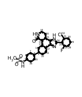 CS(=O)(=O)Nc1ccc(-c2ccc3c(c2)c2c(=O)[nH]ccc2c2[nH]c(-c4c(F)cccc4Cl)nc32)cc1